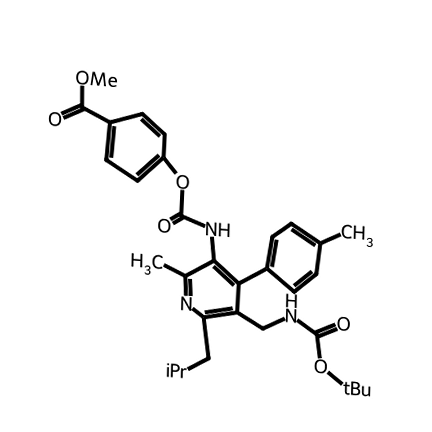 COC(=O)c1ccc(OC(=O)Nc2c(C)nc(CC(C)C)c(CNC(=O)OC(C)(C)C)c2-c2ccc(C)cc2)cc1